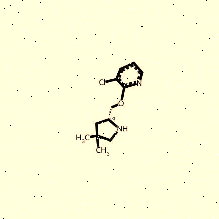 CC1(C)CN[C@@H](COc2ncccc2Cl)C1